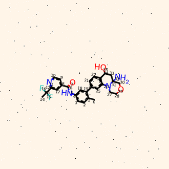 Cc1ccc(NC(=O)c2ccnc(C(C)(F)F)c2)cc1-c1ccc2c(c1)N1CCOCC1(N)CC2O